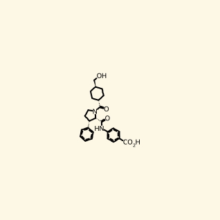 O=C(O)c1ccc(NC(=O)[C@@H]2[C@H](c3ccccc3)CCN2C(=O)[C@H]2CC[C@H](CO)CC2)cc1